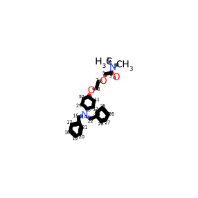 CN(C)C(=O)COCCOC1CCC(N(Cc2ccccc2)Cc2ccccc2)CC1